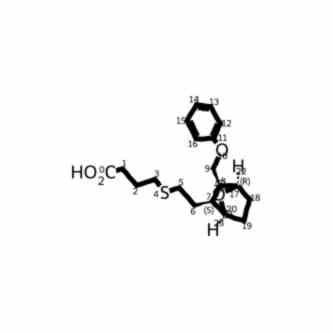 O=C(O)CCCSCC[C@H]1[C@@H](COc2ccccc2)[C@H]2CC[C@@H]1O2